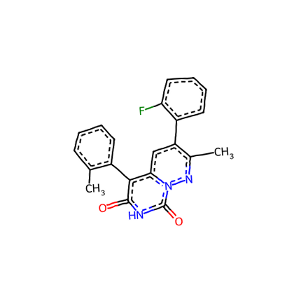 Cc1ccccc1-c1c(=O)[nH]c(=O)n2nc(C)c(-c3ccccc3F)cc12